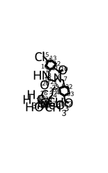 COC(=O)c1ccc(CN2C(=O)c3ccc(Cl)cc3NC(=O)[C@H]2CCCC(C)(C)[Si](C)(C)O)cc1